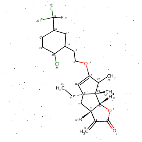 C=C1C(=O)O[C@@H]2[C@H]1C[C@@]1(CC)C=C(OCCC3CC(C(F)(F)F)CCC3Cl)C(C)[C@]21C